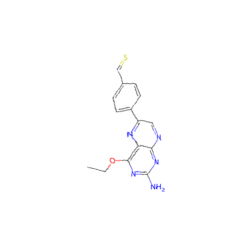 CCOc1nc(N)nc2ncc(-c3ccc(C=S)cc3)nc12